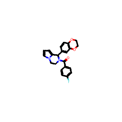 O=C(c1ccc(F)cc1)N1CCn2cccc2C1c1ccc2c(c1)OCCO2